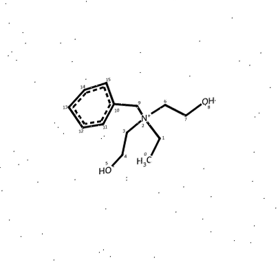 CC[N+](CCO)(CCO)Cc1ccccc1